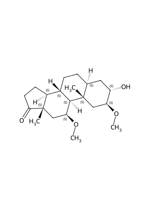 CO[C@H]1C[C@]2(C)C(=O)CC[C@H]2[C@@H]2CC[C@H]3C[C@H](O)[C@@H](OC)C[C@]3(C)[C@H]21